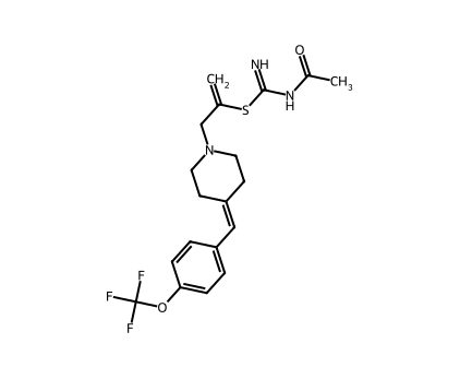 C=C(CN1CCC(=Cc2ccc(OC(F)(F)F)cc2)CC1)SC(=N)NC(C)=O